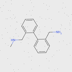 CNCc1ccccc1-c1ccccc1CN